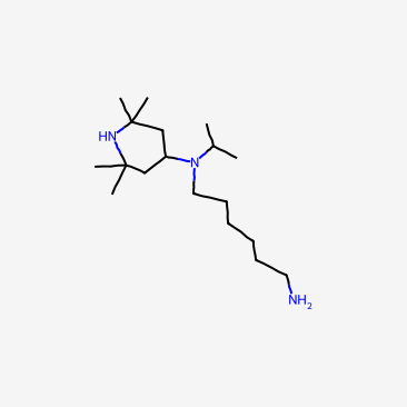 CC(C)N(CCCCCCN)C1CC(C)(C)NC(C)(C)C1